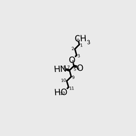 CCCCOC(=O)C(=N)CCCO